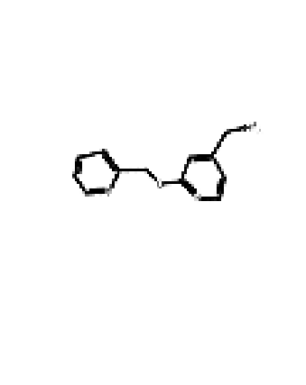 NCc1ccnc(OCc2ccccn2)c1